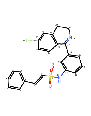 O=S(=O)(/C=C/c1ccccc1)Nc1cccc(C2=NCCc3cc(F)ccc32)c1